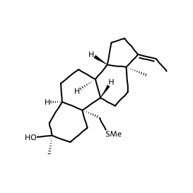 C/C=C1/CC[C@H]2[C@@H]3CC[C@@H]4C[C@](C)(O)CC[C@]4(CSC)[C@H]3CC[C@]12C